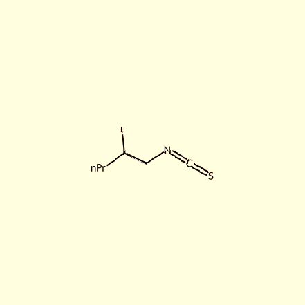 CCCC(I)CN=C=S